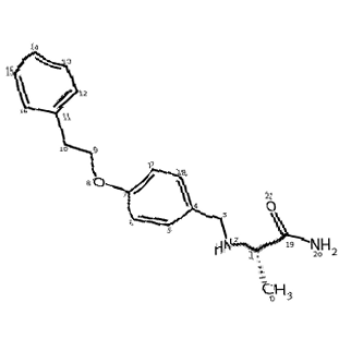 C[C@H](NCc1ccc(OCCc2ccccc2)cc1)C(N)=O